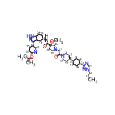 CCCn1cnc(-c2ccc(C3=CCN(C(=O)CN4CC[C@@](OC)(C(=O)Nc5ccc6[nH]nc(-c7ccc(OC(C)C)nc7)c6c5)C4)CC3)cc2)n1